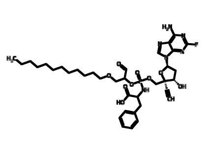 C#C[C@]1(COP(=O)(NC(Cc2ccccc2)C(=O)O)OC(C=O)COCCCCCCCCCCCC)O[C@@H](n2cnc3c(N)nc(F)nc32)C[C@@H]1O